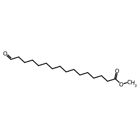 COC(=O)CCCCCCCCCCCCCCC=O